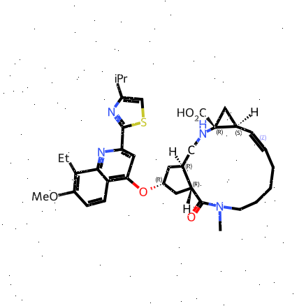 CCc1c(OC)ccc2c(O[C@@H]3C[C@H]4CN[C@]5(C(=O)O)C[C@H]5/C=C\CCCCN(C)C(=O)[C@@H]4C3)cc(-c3nc(C(C)C)cs3)nc12